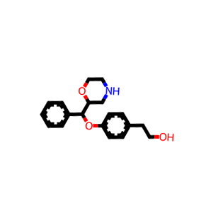 OCCc1ccc(OC(c2ccccc2)C2CNCCO2)cc1